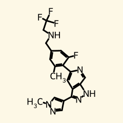 Cc1cc(CNCC(F)(F)F)cc(F)c1-c1cc2c(-c3cnn(C)c3)n[nH]c2cn1